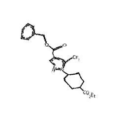 CCOC(=O)C1CCC(n2ncc(C(=O)OCc3ccccc3)c2C(F)(F)F)CC1